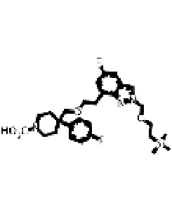 C[Si](C)(C)CCOCn1cc2cc(F)cc(CCOCC3(c4ccc(F)cc4)CCN(C(=O)O)CC3)c2n1